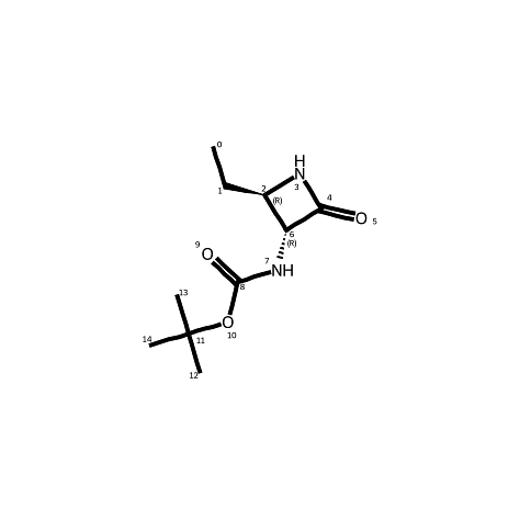 CC[C@H]1NC(=O)[C@@H]1NC(=O)OC(C)(C)C